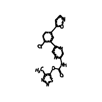 Cc1nnsc1OC(=O)Nc1cnc(-c2cc(-c3ccno3)ccc2Cl)cn1